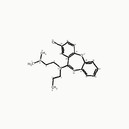 CCCN(CCN(C)C)C1=Nc2ccccc2Oc2ccc(Cl)cc21